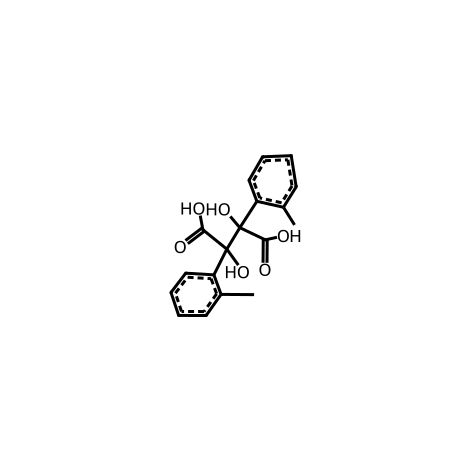 Cc1ccccc1C(O)(C(=O)O)C(O)(C(=O)O)c1ccccc1C